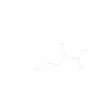 CCCCCCC(Br)=C(O)Br